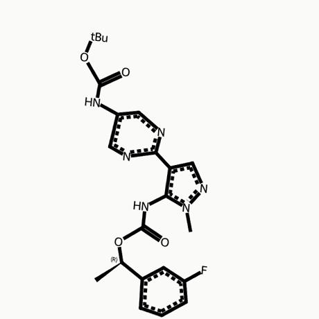 C[C@@H](OC(=O)Nc1c(-c2ncc(NC(=O)OC(C)(C)C)cn2)cnn1C)c1cccc(F)c1